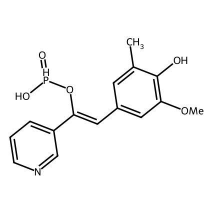 COc1cc(C=C(O[PH](=O)O)c2cccnc2)cc(C)c1O